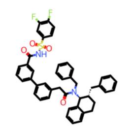 O=C(NS(=O)(=O)c1ccc(F)c(F)c1)c1cccc(-c2cccc(CC(=O)N(Cc3ccccc3)[C@@H]3c4ccccc4CC[C@H]3Cc3ccccc3)c2)c1